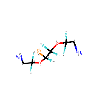 NCC(F)(F)OC(F)(F)C(F)(P)OC(F)(F)CN